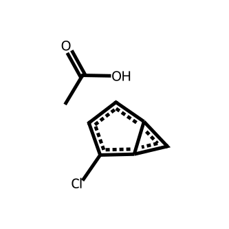 CC(=O)O.Clc1ccc2cc1-2